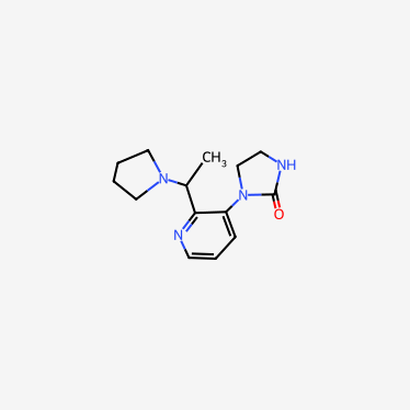 CC(c1ncccc1N1CCNC1=O)N1CCCC1